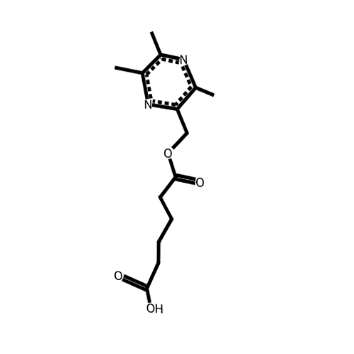 Cc1nc(C)c(COC(=O)CCCCC(=O)O)nc1C